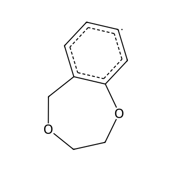 [c]1ccc2c(c1)OCCOC2